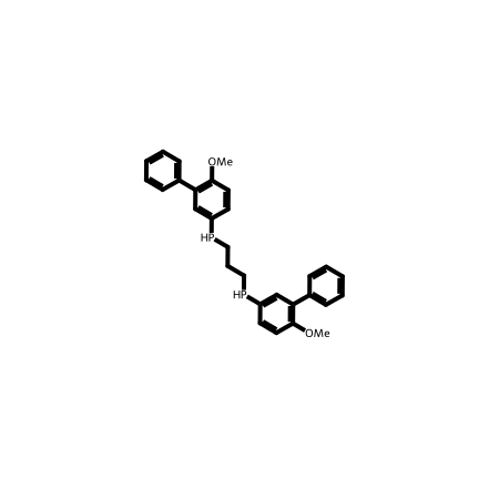 COc1ccc(PCCCPc2ccc(OC)c(-c3ccccc3)c2)cc1-c1ccccc1